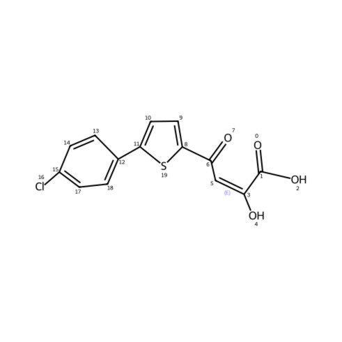 O=C(O)/C(O)=C\C(=O)c1ccc(-c2ccc(Cl)cc2)s1